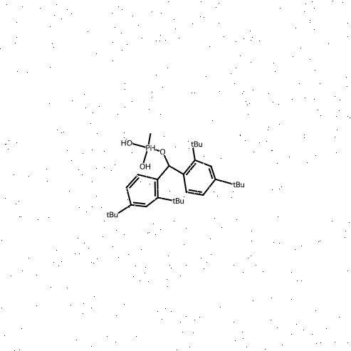 CC(C)(C)c1ccc(C(O[PH](C)(O)O)c2ccc(C(C)(C)C)cc2C(C)(C)C)c(C(C)(C)C)c1